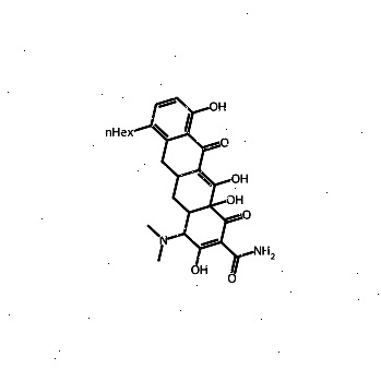 CCCCCCc1ccc(O)c2c1CC1CC3C(N(C)C)C(O)=C(C(N)=O)C(=O)C3(O)C(O)=C1C2=O